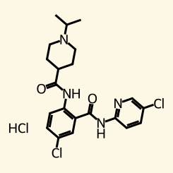 CC(C)N1CCC(C(=O)Nc2ccc(Cl)cc2C(=O)Nc2ccc(Cl)cn2)CC1.Cl